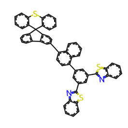 c1ccc2c(c1)Sc1ccccc1C21c2ccccc2-c2cc(-c3ccc(-c4cc(-c5nc6ccccc6s5)cc(-c5nc6ccccc6s5)c4)c4ccccc34)ccc21